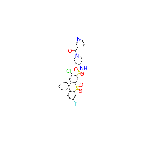 O=C(c1cccnc1)N1CCC(NS(=O)(=O)c2cc3c(cc2Cl)C2(CCCCC2)c2ccc(F)cc2S3(=O)=O)CC1